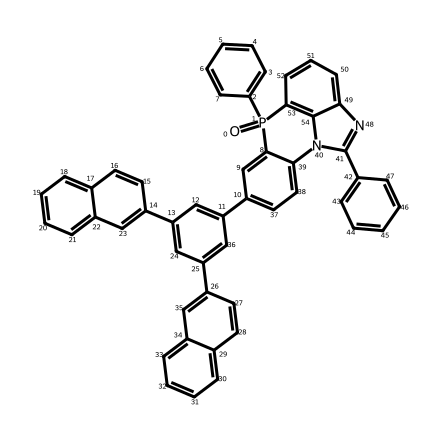 O=P1(c2ccccc2)c2cc(-c3cc(-c4ccc5ccccc5c4)cc(-c4ccc5ccccc5c4)c3)ccc2-n2c(-c3ccccc3)nc3cccc1c32